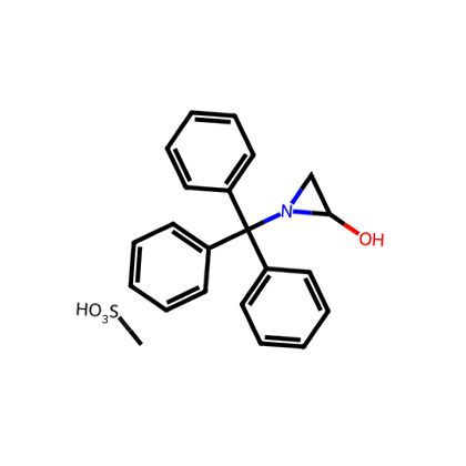 CS(=O)(=O)O.OC1CN1C(c1ccccc1)(c1ccccc1)c1ccccc1